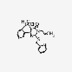 C=CCn1c(SCc2ccccn2)nc2c(c1=O)C(C)(C)Cc1ccccc1-2